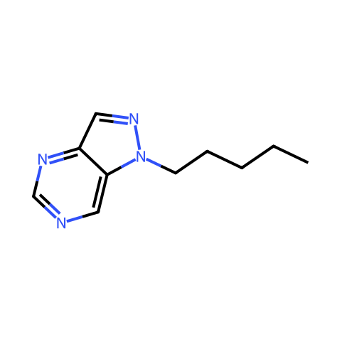 CCCCCn1ncc2ncncc21